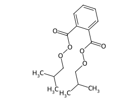 CC(C)COOC(=O)c1ccccc1C(=O)OOCC(C)C